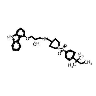 CCC(C)(C)c1ccc(S(=O)(=O)N2CCC(CNC[C@H](O)COc3cccc4[nH]c5ccccc5c34)CC2)cc1